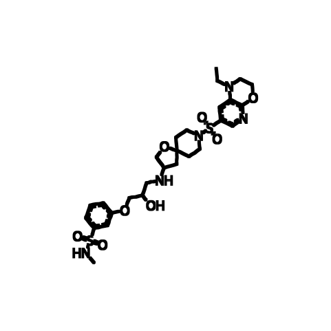 CCN1CCOc2ncc(S(=O)(=O)N3CCC4(CC3)CC(NCC(O)COc3cccc(S(=O)(=O)NC)c3)CO4)cc21